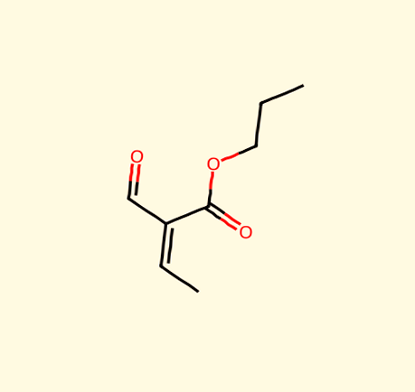 CC=C(C=O)C(=O)OCCC